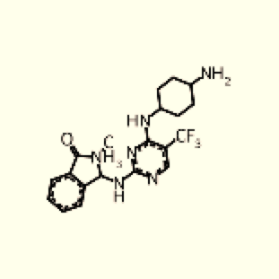 CN1C(=O)c2ccccc2C1Nc1ncc(C(F)(F)F)c(NC2CCC(N)CC2)n1